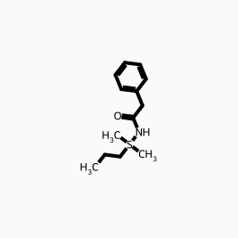 CCCS(C)(C)NC(=O)Cc1ccccc1